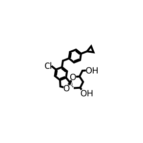 OCC1CC(O)C[C@@]2(OCc3cc(Cl)c(Cc4ccc(C5CC5)cc4)cc32)O1